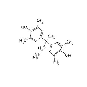 Cc1cc(C(C)(C)c2cc(C)c(O)c(C)c2)cc(C)c1O.[Na].[Na]